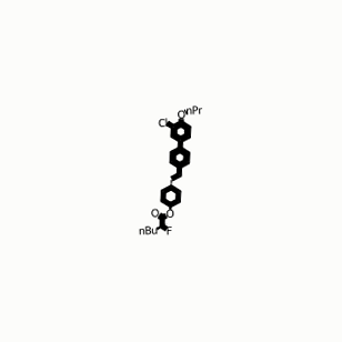 CCCC[C@H](F)C(=O)O[C@H]1CC[C@H](CCc2ccc(-c3ccc(OCCC)c(Cl)c3)cc2)CC1